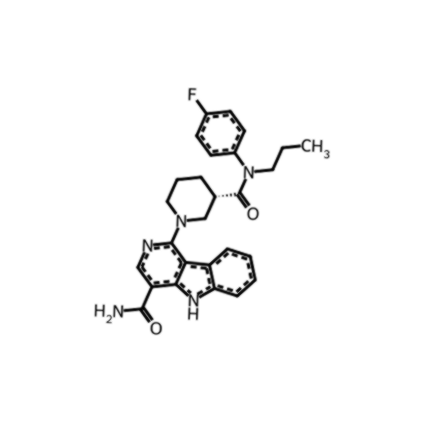 CCCN(C(=O)[C@H]1CCCN(c2ncc(C(N)=O)c3[nH]c4ccccc4c23)C1)c1ccc(F)cc1